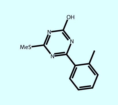 CSc1nc(O)nc(-c2ccccc2C)n1